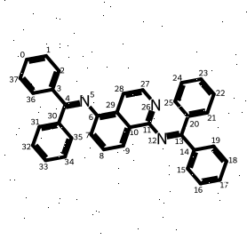 c1ccc(C(=Nc2cccc3c(N=C(c4ccccc4)c4ccccc4)nccc23)c2ccccc2)cc1